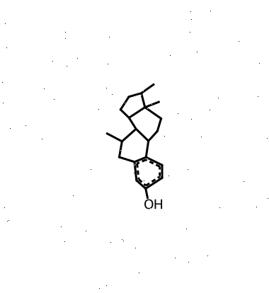 CC1Cc2cc(O)ccc2C2CCC3(C)C(C)CCC3C12